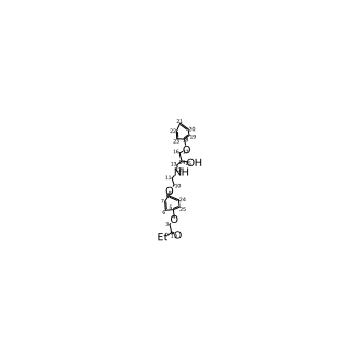 CCC(=O)COc1ccc(OCCNCC(O)COc2ccccc2)cc1